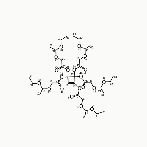 CCOC(C)OCC(=O)OC1=CC(OC(=O)COC(C)OCC)(OC(=O)COC(C)OCC)C1(OC(=O)COC(C)OCC)OC(=O)COC(C)OCC